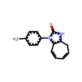 Cc1ccc(-n2c3c([nH]c2=O)CC=CC=C3)cc1